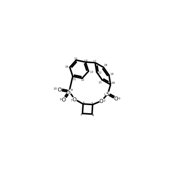 O=S1OC2CCC2OS(=O)(=O)c2ccc(cc2)-c2ccc1cc2